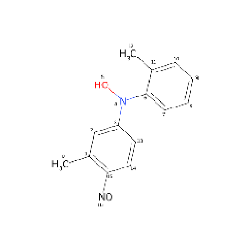 Cc1cc(N(O)c2ccccc2C)ccc1N=O